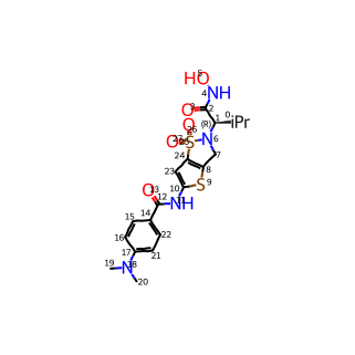 CC(C)[C@H](C(=O)NO)N1Cc2sc(NC(=O)c3ccc(N(C)C)cc3)cc2S1(=O)=O